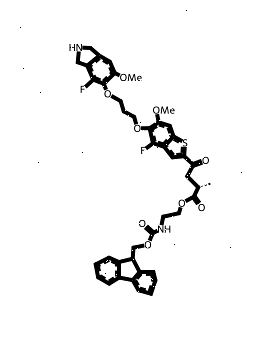 COc1cc2c(c(F)c1OCCCOc1c(OC)cc3sc(C(=O)C[C@H](C)C(=O)OCCNC(=O)OCC4c5ccccc5-c5ccccc54)cc3c1F)CNC2